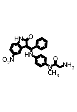 CN(C(=O)CN)c1ccc(NC(=C2C(=O)Nc3ccc([N+](=O)[O-])cc32)c2ccccc2)cc1